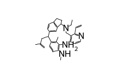 C=Cc1ncccc1CN(CC)C1CCc2ccc(C(CC(=C)C)c3ccc(NC)c(N)c3C)cc21